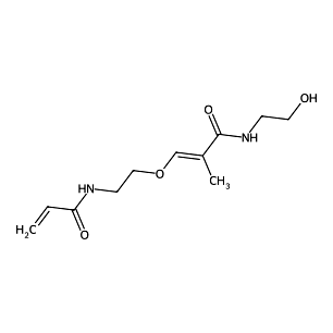 C=CC(=O)NCCO/C=C(\C)C(=O)NCCO